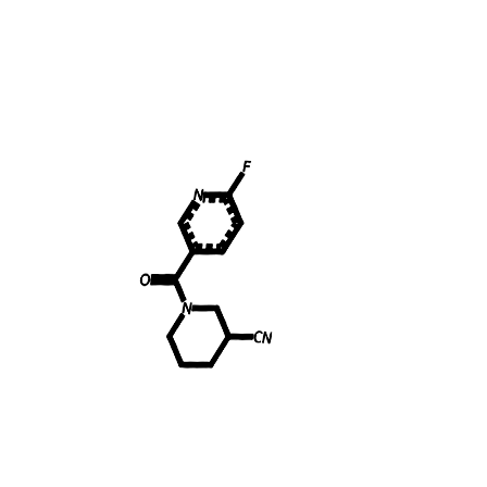 N#CC1CCCN(C(=O)c2ccc(F)nc2)C1